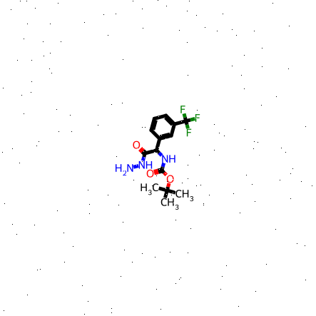 CC(C)(C)OC(=O)NC(C(=O)NN)c1cccc(C(F)(F)F)c1